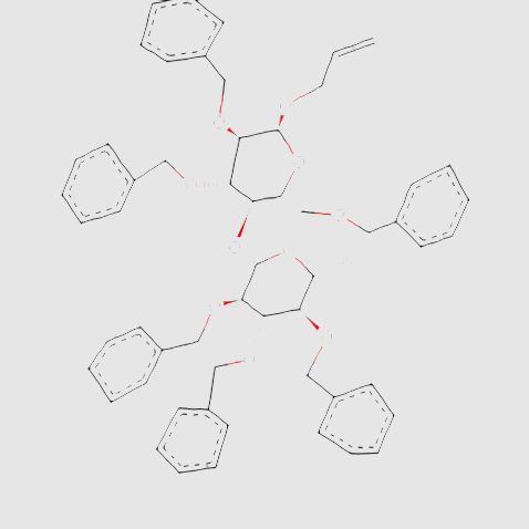 C=CCO[C@H]1O[C@H](COCc2ccccc2)[C@@H](O[C@@H]2O[C@H](C)[C@@H](OCc3ccccc3)[C@H](OCc3ccccc3)[C@H]2OCc2ccccc2)[C@H](OCc2ccccc2)[C@H]1OCc1ccccc1